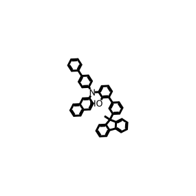 CC1(c2cccc(-c3cccc(N(c4ccc(-c5ccccc5)cc4)c4ccc5ccccc5c4)c3O)c2)c2ccccc2-c2ccccc21